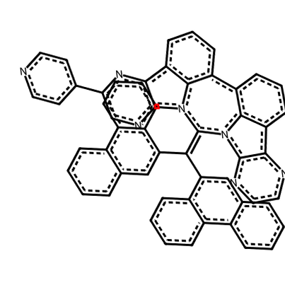 c1ccc2c(c1)cc(C(c1cc3ccccc3c3ccccc13)=c1n3c4nccnc4c4cccc(c5cccc6c7nc(-c8ccncc8)cnc7n1c56)c43)c1ccccc12